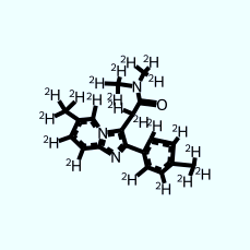 [2H]c1c([2H])c(C([2H])([2H])[2H])c([2H])c([2H])c1-c1nc2c([2H])c([2H])c(C([2H])([2H])[2H])c([2H])n2c1C([2H])([2H])C(=O)N(C([2H])([2H])[2H])C([2H])([2H])[2H]